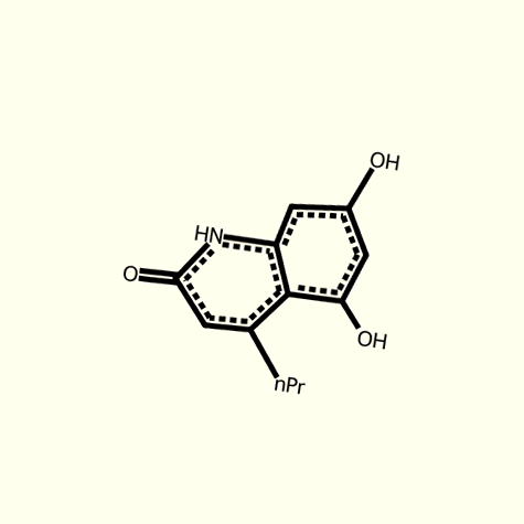 CCCc1cc(=O)[nH]c2cc(O)cc(O)c12